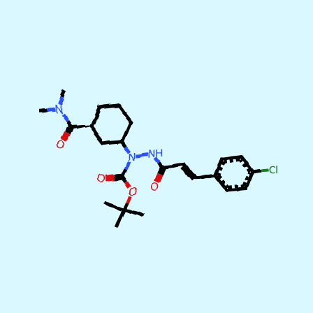 CN(C)C(=O)[C@H]1CCCC(N(NC(=O)C=Cc2ccc(Cl)cc2)C(=O)OC(C)(C)C)C1